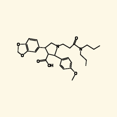 CCCN(CCC)C(=O)CCN1CC(c2ccc3c(c2)OCO3)C(C(=O)O)C1c1ccc(OC)cc1